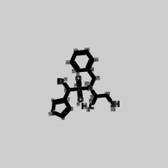 CCC(c1ccsc1)S(=O)(=O)N(Cc1ccccc1)C(C)CS